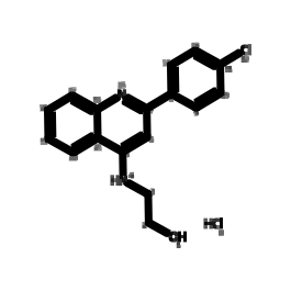 Cl.OCCNc1cc(-c2ccc(Cl)cc2)nc2ccccc12